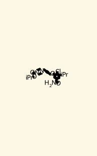 CC(C)OC(=O)N1CCN(CC#CCOc2cc(C(N)=O)cc(C(C)C)c2Cl)CC1